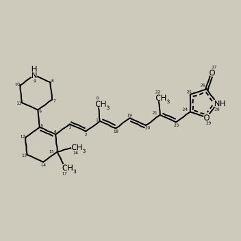 CC(/C=C/C1=C(C2CCNCC2)CCCC1(C)C)=C\C=C\C(C)=C\c1cc(=O)[nH]o1